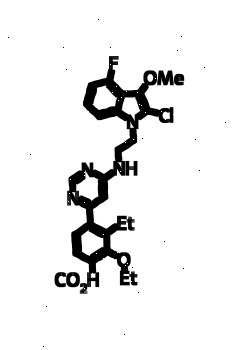 CCOc1c(C(=O)O)ccc(-c2cc(NCCn3c(Cl)c(OC)c4c(F)cccc43)ncn2)c1CC